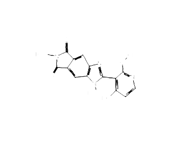 COc1nccc(C)c1-c1nc2cc3c(cc2n1C)C(=O)N(C)C3=O